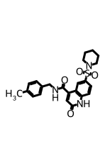 Cc1ccc(CNC(=O)c2cc(=O)[nH]c3ccc(S(=O)(=O)N4CCCCC4)cc23)cc1